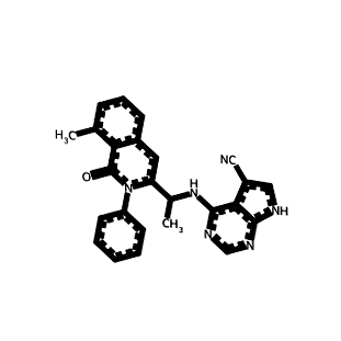 Cc1cccc2cc(C(C)Nc3ncnc4[nH]cc(C#N)c34)n(-c3ccccc3)c(=O)c12